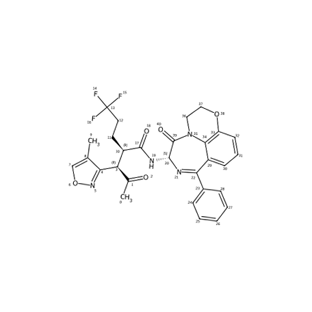 CC(=O)[C@@H](c1nocc1C)[C@@H](CCC(F)(F)F)C(=O)N[C@H]1N=C(c2ccccc2)c2cccc3c2N(CCO3)C1=O